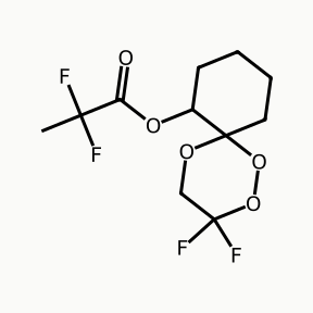 CC(F)(F)C(=O)OC1CCCCC12OCC(F)(F)OO2